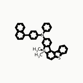 C[Si]1(C)c2cc(N(c3ccccc3)c3ccc(-c4cccc5ccccc45)cc3)ccc2-c2c1ccc1sc3ccccc3c21